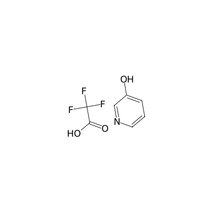 O=C(O)C(F)(F)F.Oc1cccnc1